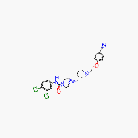 N#Cc1ccc(OCCN2CCC[C@@H](CN3CCN(C(=O)Nc4ccc(Cl)c(Cl)c4)CC3)C2)cc1